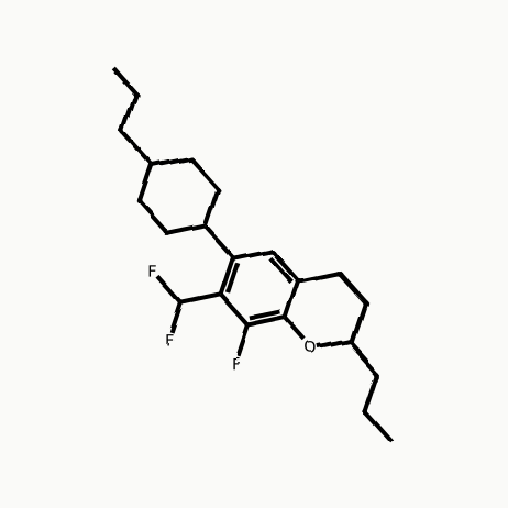 CCCC1CCC(c2cc3c(c(F)c2C(F)F)OC(CCC)CC3)CC1